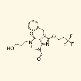 CN(CCCO)C(=O)c1c(N(C)C=O)nc(OCCC(F)(F)F)n1Cc1ccccc1